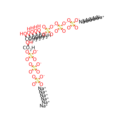 O=C(O)O.O=C(O)O.O=C(O)O.O=C(O)O.O=C(O)O.O=C(O)O.O=S(=O)([O-])[O-].O=S(=O)([O-])[O-].O=S(=O)([O-])[O-].O=S(=O)([O-])[O-].O=S(=O)([O-])[O-].O=S(=O)([O-])[O-].[Na+].[Na+].[Na+].[Na+].[Na+].[Na+].[Na+].[Na+].[Na+].[Na+].[Na+].[Na+]